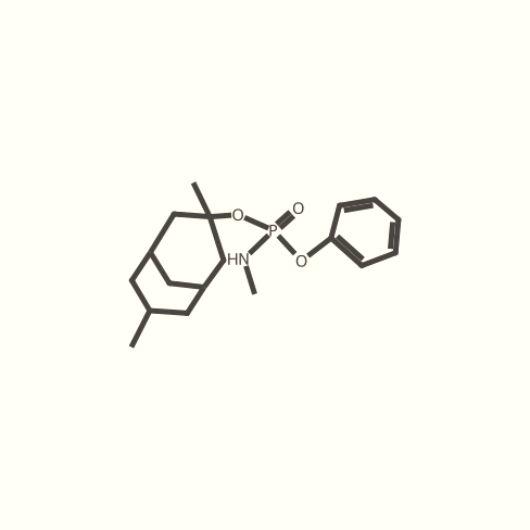 CNP(=O)(Oc1ccccc1)OC1(C)CC2CC(C)CC(C2)C1